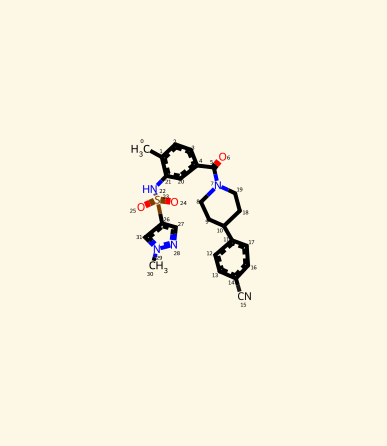 Cc1ccc(C(=O)N2CCC(c3ccc(C#N)cc3)CC2)cc1NS(=O)(=O)c1cnn(C)c1